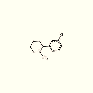 CN1CCCCC1c1cccc(Cl)c1